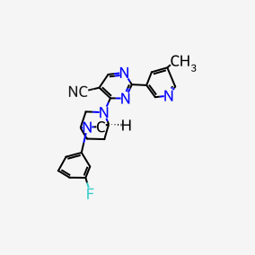 Cc1cncc(-c2ncc(C#N)c(N3CC4CC[C@H]3CN4c3cccc(F)c3)n2)c1